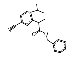 CC(C)c1ccc(C#N)cc1C(C)C(=O)OCc1ccccc1